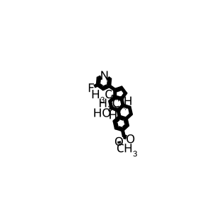 COC(=O)c1ccc2c(c1)CC[C@@H]1[C@@H]2[C@H](O)C[C@]2(C)C(c3cncc(F)c3)=CC[C@@]12C